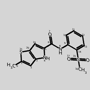 Cc1cc2[nH]c(C(=O)Nc3ccccc3S(C)(=O)=O)cc2s1